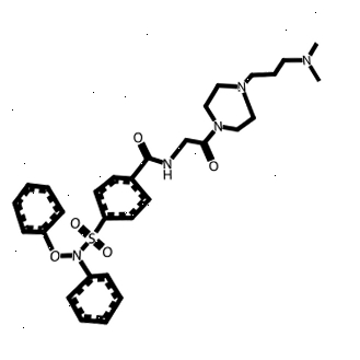 CN(C)CCCN1CCN(C(=O)CNC(=O)c2ccc(S(=O)(=O)N(Oc3ccccc3)c3ccccc3)cc2)CC1